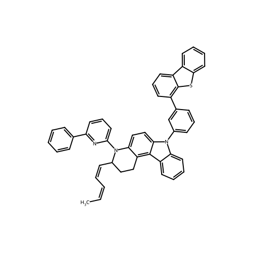 C/C=C\C=C/C1CCc2c(ccc3c2c2ccccc2n3-c2cccc(-c3cccc4c3sc3ccccc34)c2)N1c1cccc(-c2ccccc2)n1